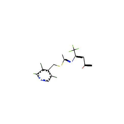 C=C(O)/C=C(\N=C(/C)SCc1c(Cl)cnc(F)c1Cl)C(F)(F)F